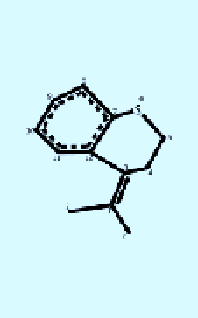 CC(C)=C1CCSc2ccccc21